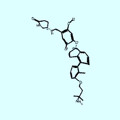 CCOc1cc(O[C@H]2CCc3c(-c4cccc(OCCC(C)(C)N)c4C)cccc32)c(Cl)cc1CN[C@H]1CCC(=O)NC1